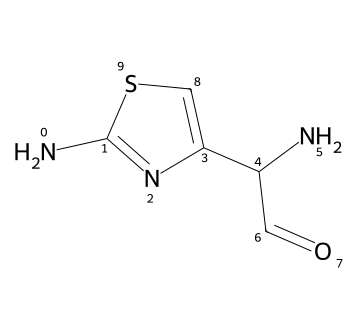 Nc1nc(C(N)C=O)cs1